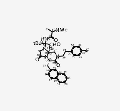 CNC(C)C(=O)NC(C=O)(N1CC(=O)N2[C@@H](Cc3ccc4ccccc4c3)C(=O)N(CCc3ccc(F)cc3)C[C@@H]21)C(C)(C)C